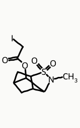 CN1C2C3CC(CC3S1(=O)=O)C2OC(=O)CI